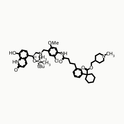 COc1cc(NC(=O)CCCc2cccc(C3(C(=O)OCC4CCN(C)CC4)CCCCC3)c2)c(Cl)cc1CNC[C@@H](O[Si](C)(C)C(C)(C)C)c1ccc(O)c2[nH]c(=O)ccc12